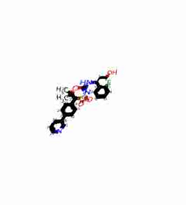 CC1(C)OC(N[C@@H](CCO)c2ccccc2F)=NS(=O)(=O)C1c1ccc(-c2cccnc2)cc1